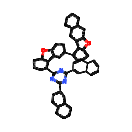 C1=CC2C=CC(c3nc(-c4ccc5ccccc5c4)nc(-c4cccc5oc6ccc(-c7cccc8oc9cc%10ccccc%10cc9c78)cc6c45)n3)=CC2C=C1